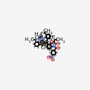 CC(C)c1cccc(C(C)C)c1N1CCN(c2c(C(C)C)cccc2C(C)C)[CH]1[Ru]([Cl])=[CH]c1cccc2c1OC(C(C)C)C(=O)N2C(=O)c1ccc([N+](=O)[O-])cc1